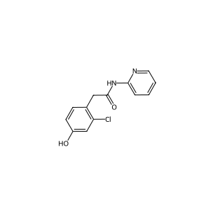 O=C(Cc1ccc(O)cc1Cl)Nc1ccccn1